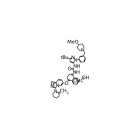 COC1CCN(Cc2cccc(-n3nc(C(C)(C)C)cc3NC(=O)N[C@H]3CC[C@@H](Oc4ccc5nnc(N6CCCC[C@@H]6C)n5c4)c4ccccc43)c2)CC1.O=CO